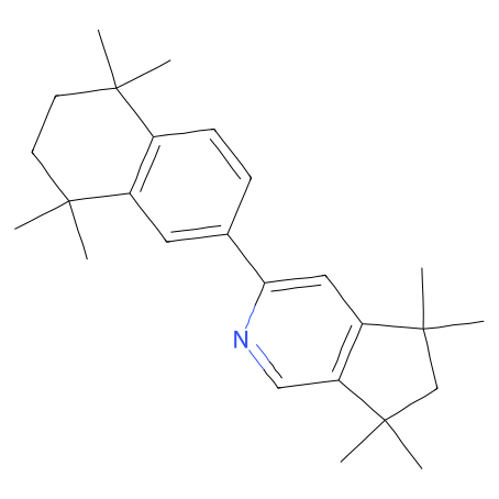 CC1(C)CCC(C)(C)c2cc(-c3cc4c(cn3)C(C)(C)CC4(C)C)ccc21